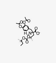 CC[C@H](C)OC(=O)O[C@@H](C)CC(N)(Cc1ccc(OC(C)=O)c(OC(C)=O)c1)C(=O)OC